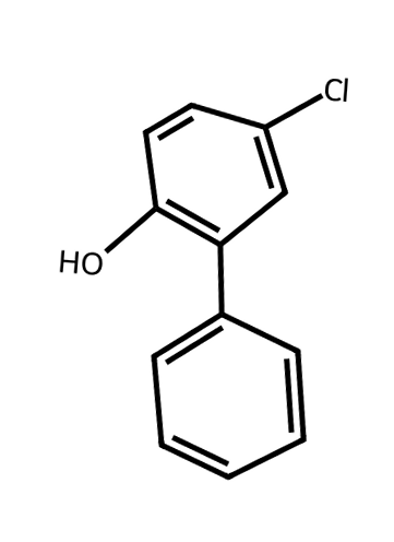 Oc1ccc(Cl)cc1-c1ccccc1